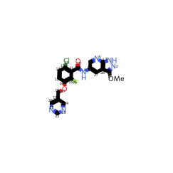 COc1n[nH]c2ncc(NC(=O)c3c(Cl)ccc(OCc4cncnc4)c3F)cc12